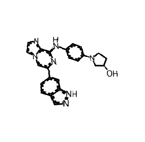 O[C@@H]1CCN(c2ccc(Nc3nc(-c4ccc5cn[nH]c5c4)cn4ccnc34)cc2)C1